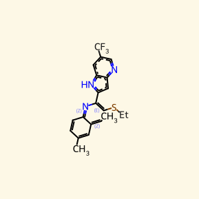 C/C=C1/C=C(C)C=C/C1=N/C(=C/SCC)c1cc2ncc(C(F)(F)F)cc2[nH]1